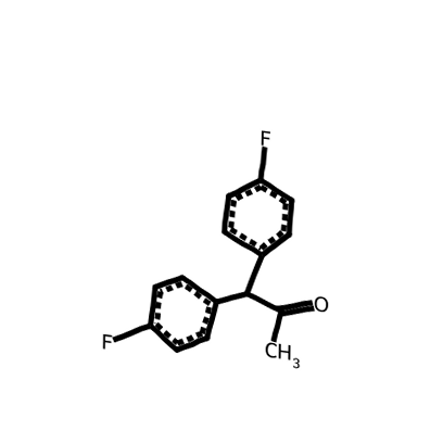 CC(=O)C(c1ccc(F)cc1)c1ccc(F)cc1